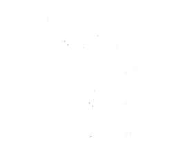 CC(C)(C)C(=O)Nc1ccc(O)c(-c2nc3ccccc3s2)c1